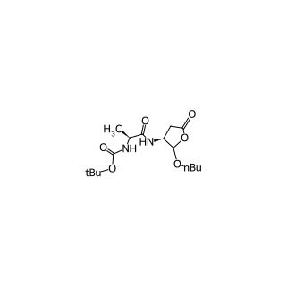 CCCCOC1OC(=O)C[C@@H]1NC(=O)[C@H](C)NC(=O)OC(C)(C)C